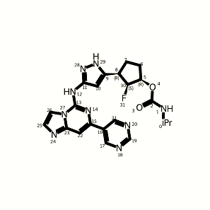 CC(C)NC(=O)O[C@@H]1CC[C@H](c2cc(Nc3nc(-c4cncnc4)cc4nccn34)n[nH]2)[C@@H]1F